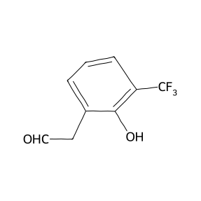 O=CCc1cccc(C(F)(F)F)c1O